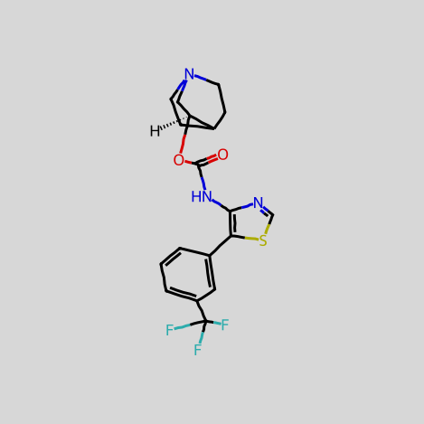 O=C(Nc1ncsc1-c1cccc(C(F)(F)F)c1)O[C@H]1CN2CCC1CC2